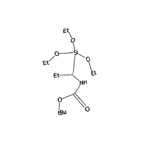 CCO[Si](OCC)(OCC)C(CC)NC(=O)OC(C)(C)C